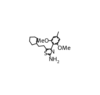 COc1cc(C)cc(OC)c1-c1nc(N)sc1CCC1CCCCC1